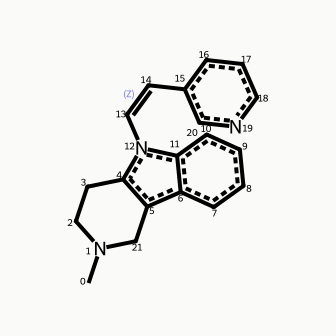 CN1CCc2c(c3ccccc3n2/C=C\c2cccnc2)C1